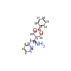 N[C@H](Cc1ccccn1)C1COC(c2ccccc2)OC1